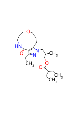 CCc1nn(C[C@@H](C)COC(=O)C(CC)CC)c2c1C(=O)NCCCOCCC2